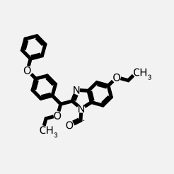 CCOc1ccc2c(c1)nc(C(OCC)c1ccc(Oc3ccccc3)cc1)n2[C]=O